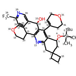 CC(C)(C)[Si](C)(C)O[C@H]1CC2(CCC2)Cc2nc(C3CCOCC3)c([C@H](O)c3ccc(C(F)(F)F)nc3)c(C3=CCOCC3)c21